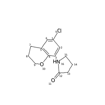 Clc1ccc2c(c1)CCCO2.O=C1CCCN1